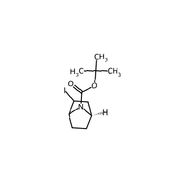 CC(C)(C)OC(=O)N1C2CC[C@@H]1CC2I